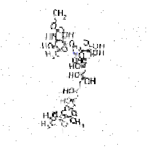 C=CCOC(=O)N[C@@H]1[C@H](O)[C@H](O[C@@H](/C=C/C)C[C@@H]2O[C@](O)(C[C@@H](O)C[C@@H](O)[C@H](O)CC[C@@H](O)C[C@@H](O)CC(=O)O[C@@H](C)[C@H](C)[C@H](O)C(C)C)C[C@H](O)[C@H]2C(=O)O)O[C@H](C)[C@H]1O